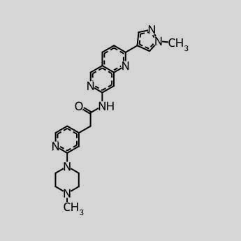 CN1CCN(c2cc(CC(=O)Nc3cc4nc(-c5cnn(C)c5)ccc4cn3)ccn2)CC1